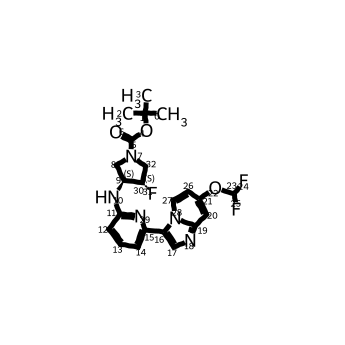 CC(C)(C)OC(=O)N1C[C@H](Nc2cccc(-c3cnc4cc(OC(F)F)ccn34)n2)[C@@H](F)C1